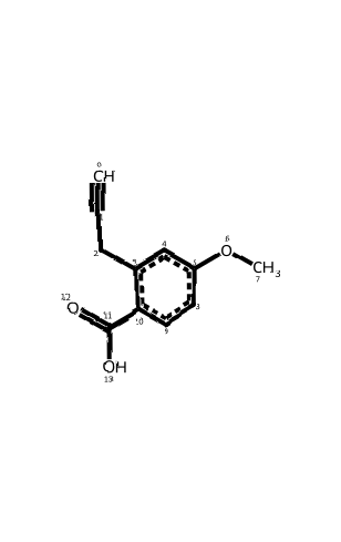 C#CCc1cc(OC)ccc1C(=O)O